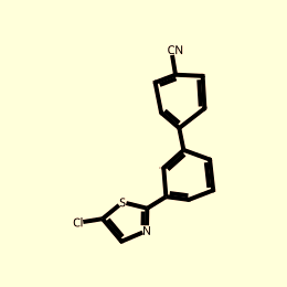 N#Cc1ccc(-c2[c]c(-c3ncc(Cl)s3)ccc2)cc1